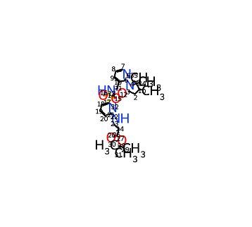 CC1CCN(c2ncccc2C(=O)NS(=O)(=O)c2cccc(NCCC(=O)OC(C)(C)C)n2)C1(C)C